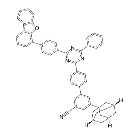 N#Cc1cc(-c2ccc(-c3nc(-c4ccccc4)nc(-c4ccc(-c5cccc6c5oc5ccccc56)cc4)n3)cc2)cc(C23C[C@H]4C[C@@H](C2)C[C@@H](C3)C4)c1